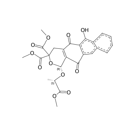 COC(=O)[C@H](C)O[C@@H]1OC(C(=O)OC)(C(=O)OC)CC2=C1C(=O)c1cc3ccccc3c(O)c1C2=O